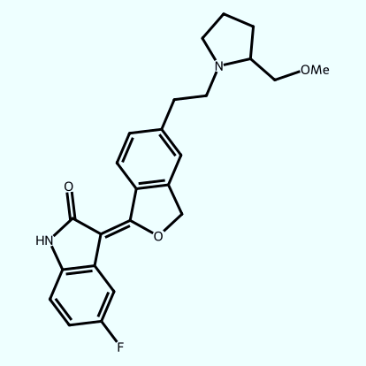 COCC1CCCN1CCc1ccc2c(c1)COC2=C1C(=O)Nc2ccc(F)cc21